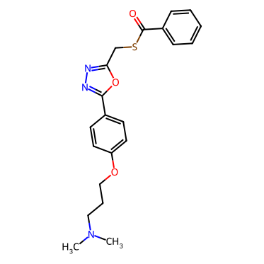 CN(C)CCCOc1ccc(-c2nnc(CSC(=O)c3ccccc3)o2)cc1